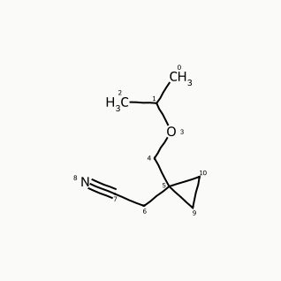 CC(C)OCC1(CC#N)CC1